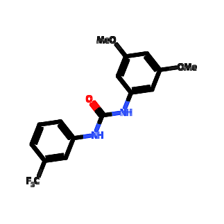 COc1cc(NC(=O)Nc2cccc(C(F)(F)F)c2)cc(OC)c1